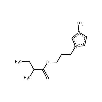 CCC(C)C(=O)OCCC[n+]1ccn(C)c1